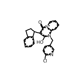 O=c1c(C2CCc3ccccc32)c(O)n(Cc2ccc(Cl)nc2)c2cccc[n+]12